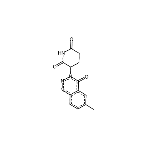 Cc1ccc2nnn(C3CCC(=O)NC3=O)c(=O)c2c1